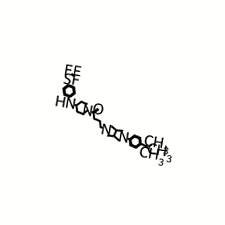 CC(C)(C)c1ccc(N2CC3CN(CCCC(=O)N4CCC(Nc5ccc(SC(F)(F)F)cc5)CC4)CC3C2)cc1